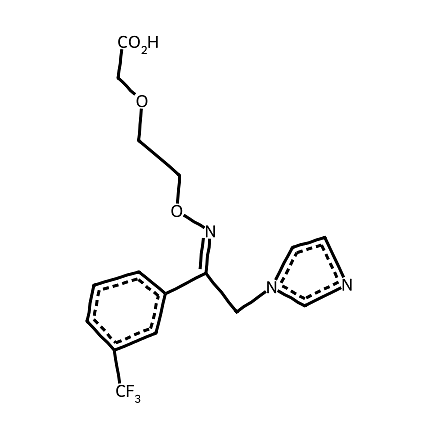 O=C(O)COCCO/N=C(/Cn1ccnc1)c1cccc(C(F)(F)F)c1